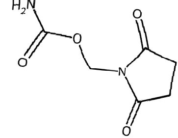 NC(=O)OCN1C(=O)CCC1=O